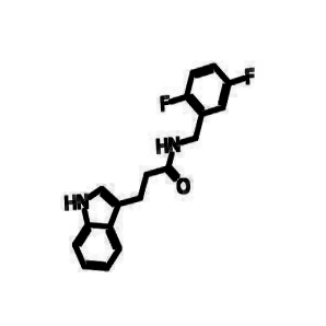 O=C(CCc1c[nH]c2ccccc12)NCc1cc(F)ccc1F